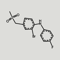 CS(=O)(=O)Cc1ccc(Nc2ccc(F)cc2)c(Br)c1